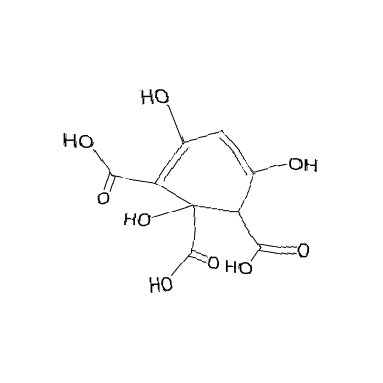 O=C(O)C1=C(O)C=C(O)C(C(=O)O)C1(O)C(=O)O